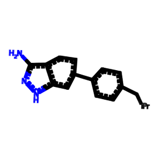 CC(C)Cc1ccc(-c2ccc3c(N)n[nH]c3c2)cc1